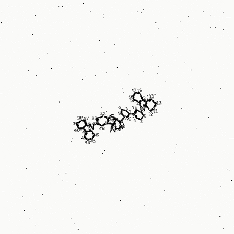 c1cc(-c2cccc(-n3c4ccccc4c4ccccc43)c2)cc(-c2ncnc3c2sc2ccc(-n4c5ccccc5c5ccccc54)cc23)c1